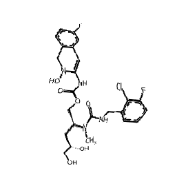 CN(C(=O)NCc1cccc(F)c1Cl)[C@H](COC(=O)NC1=Cc2cc(F)ccc2CN1O)C[C@H](O)CO